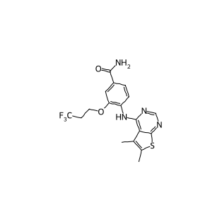 Cc1sc2ncnc(Nc3ccc(C(N)=O)cc3OCCC(F)(F)F)c2c1C